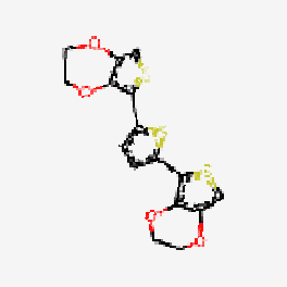 c1cc(-c2scc3c2OCCO3)sc1-c1scc2c1OCCO2